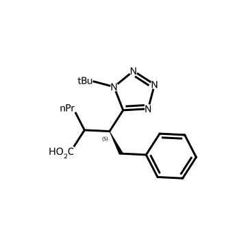 CCCC(C(=O)O)[C@H](Cc1ccccc1)c1nnnn1C(C)(C)C